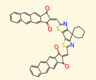 O=C1C(=Cc2nc3c(s2)-c2sc(C=C4C(=O)c5cc6cc7ccccc7cc6cc5C4=O)nc2C32CCCCC2)C(=O)c2cc3cc4ccccc4cc3cc21